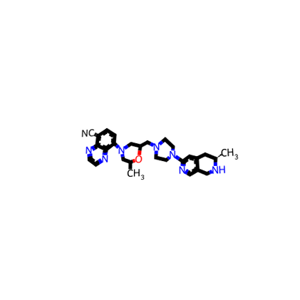 CC1CN(c2ccc(C#N)c3nccnc23)CC(CN2CCN(c3cc4c(cn3)CN[C@@H](C)C4)CC2)O1